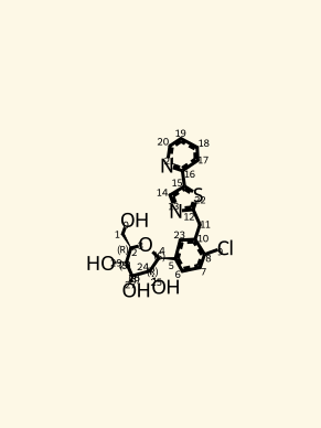 OC[C@H]1O[C@@H](c2ccc(Cl)c(Cc3ncc(-c4ccccn4)s3)c2)[C@H](O)[C@@H](O)[C@@H]1O